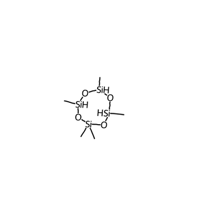 C[SiH]1O[SiH](C)O[Si](C)(C)O[SiH](C)O1